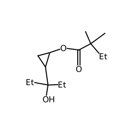 CCC(C)(C)C(=O)OC1CC1C(O)(CC)CC